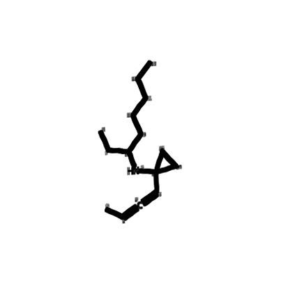 CC=C=CC1(NC(CC)CCCCC)CC1